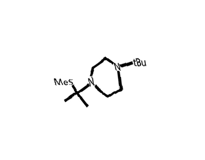 CSC(C)(C)N1CCN(C(C)(C)C)CC1